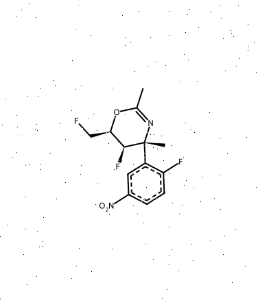 CC1=N[C@](C)(c2cc([N+](=O)[O-])ccc2F)[C@@H](F)[C@@H](CF)O1